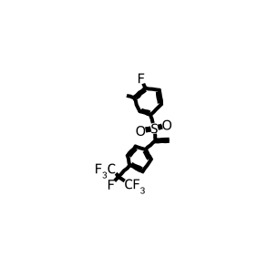 C=C(c1ccc(C(F)(C(F)(F)F)C(F)(F)F)cc1)S(=O)(=O)c1ccc(F)c(C)c1